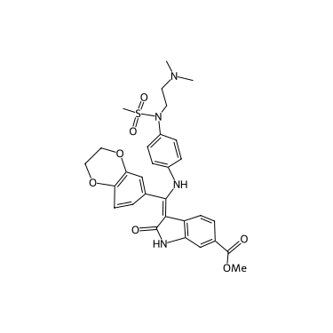 COC(=O)c1ccc2c(c1)NC(=O)C2=C(Nc1ccc(N(CCN(C)C)S(C)(=O)=O)cc1)c1ccc2c(c1)OCCO2